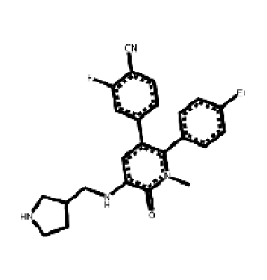 CCc1ccc(-c2c(-c3ccc(C#N)c(F)c3)cc(NCC3CCNC3)c(=O)n2C)cc1